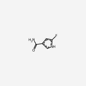 NC(=O)c1c[nH]c(F)c1